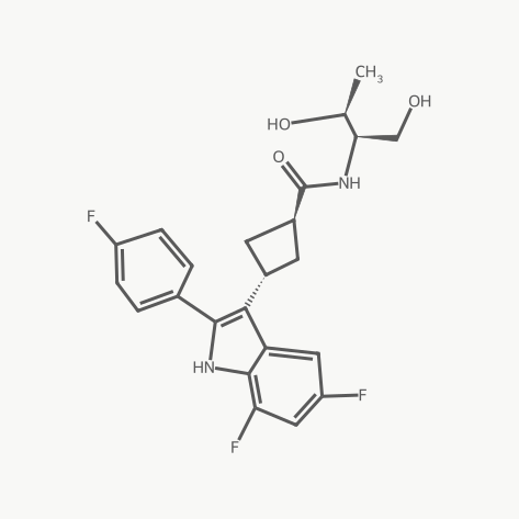 C[C@H](O)[C@@H](CO)NC(=O)[C@H]1C[C@H](c2c(-c3ccc(F)cc3)[nH]c3c(F)cc(F)cc32)C1